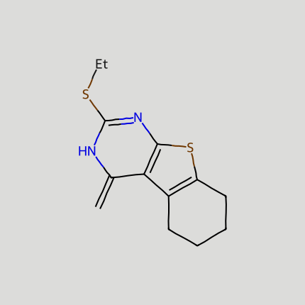 C=C1NC(SCC)=Nc2sc3c(c21)CCCC3